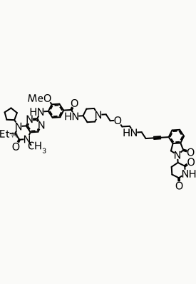 CC[C@@H]1C(=O)N(C)c2cnc(Nc3ccc(C(=O)NC4CCN(CCOCCNCCC#Cc5cccc6c5CN(C5CCC(=O)NC5=O)C6=O)CC4)cc3OC)nc2N1C1CCCC1